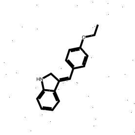 CCOc1ccc(C=C2CNc3ccccc32)cc1